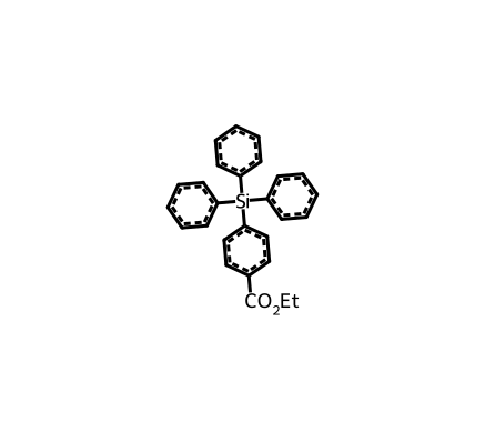 CCOC(=O)c1ccc([Si](c2ccccc2)(c2ccccc2)c2ccccc2)cc1